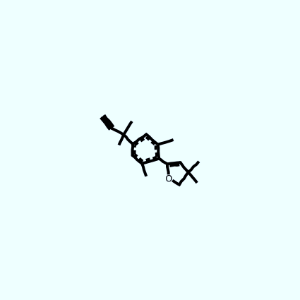 C#CC(C)(C)c1cc(C)c(C2=CC(C)(C)CO2)c(C)c1